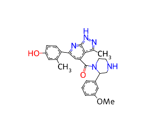 COc1cccc(C2CNCCN2C(=O)c2cc(-c3ccc(O)cc3C)nc3[nH]nc(C)c23)c1